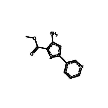 COC(=O)c1sc(-c2cccnc2)cc1N